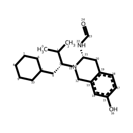 CC(C)[C@@H](CC1CCCCC1)N1Cc2cc(O)ccc2C[C@H]1NC=O